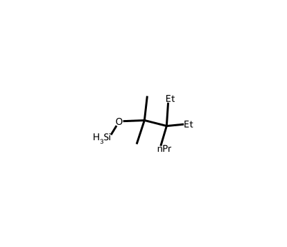 CCCC(CC)(CC)C(C)(C)O[SiH3]